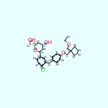 CCOCC1(COc2ccc(Cc3cc(C4C[C@@H](O)C[C@@H](CO)O4)ccc3Cl)cc2)CCCC1